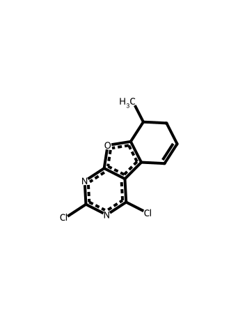 CC1CC=Cc2c1oc1nc(Cl)nc(Cl)c21